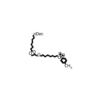 CCCCCCCCCCCCCCCCCC1OCC(COCCCCCCCCOS(=O)(=O)c2ccc(C)cc2)O1